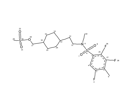 Cc1c(F)cc(S(=O)(=O)N(C)CCC2CCC(COS(C)(=O)=O)CC2)c(F)c1F